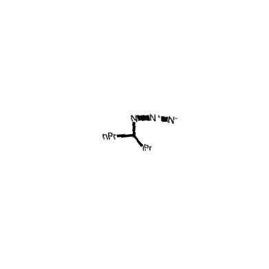 [CH2]CCC(N=[N+]=[N-])C(C)C